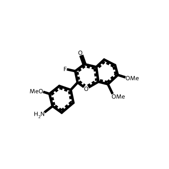 COc1cc(-c2oc3c(OC)c(OC)ccc3c(=O)c2F)ccc1N